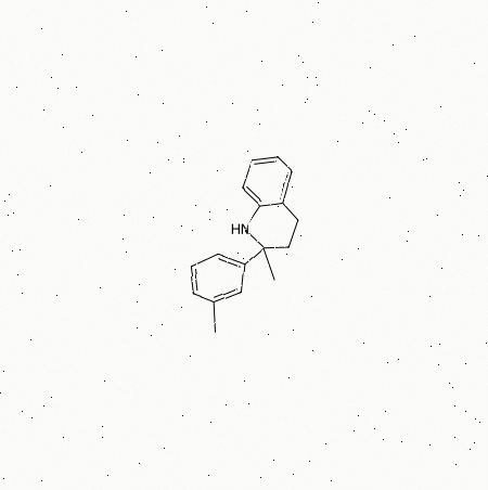 Cc1cccc(C2(C)CCc3ccccc3N2)c1